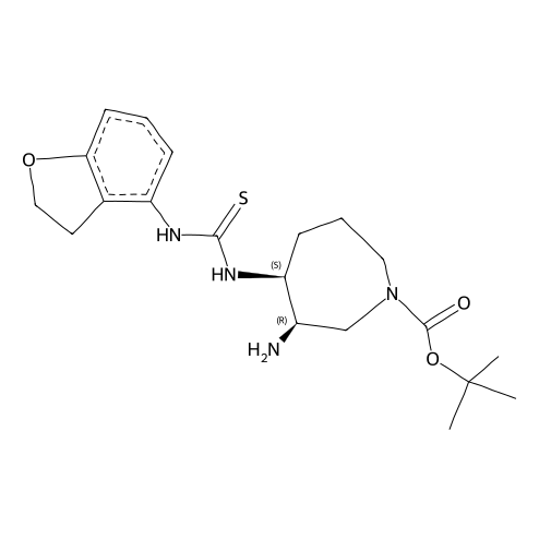 CC(C)(C)OC(=O)N1CCC[C@H](NC(=S)Nc2cccc3c2CCO3)[C@H](N)C1